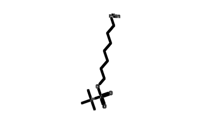 CCCCCCCCCCCCCCCCOS(=O)(=O)[N+](C)(C)C